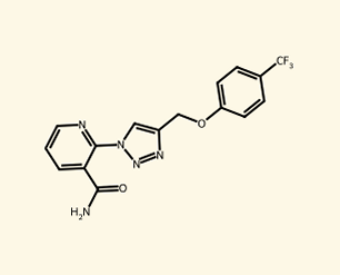 NC(=O)c1cccnc1-n1cc(COc2ccc(C(F)(F)F)cc2)nn1